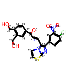 O=C(/C=C/c1c(-c2ccc(Cl)c([N+](=O)[O-])c2)nc2sccn12)c1ccc(CO)c(CO)c1